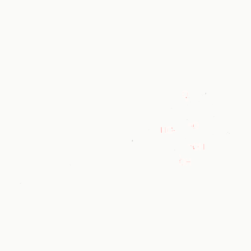 CCCCCCCCCCCCCCCCCCCCC(C(=O)C(CC)CCCC)C(=O)C(O)C(O)CO